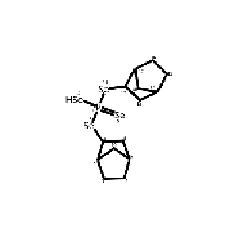 [Se]=P([SeH])([Se]C1CC2CCC1C2)[Se]C1CC2CCC1C2